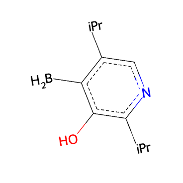 Bc1c(C(C)C)cnc(C(C)C)c1O